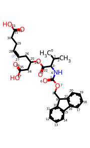 CC(C)C(NC(=O)OCC1c2ccccc2-c2ccccc21)C(=O)OC(C/C=C\CCC(=O)O)CC(=O)O